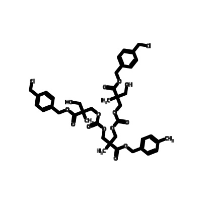 Cc1ccc(COC(=O)C(C)(COC(=O)OCC(C)(CO)C(=O)OCc2ccc(CCl)cc2)COC(=O)OCC(C)(CO)C(=O)OCc2ccc(CCl)cc2)cc1